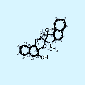 CN1c2ccc3ccccc3c2C(C)(C)C12C=Nc1c(c(O)cc3ccccc13)O2